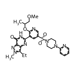 CCc1c2nc(-c3cc(S(=O)(=O)N4CCN(c5ccccn5)CC4)cnc3OC(C)COC)[nH]c(=O)c2nn1C